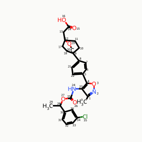 Cc1noc(-c2ccc(C34CCC(CC(=O)O)(CC3)OC4)cc2)c1NC(=O)OC(C)c1cccc(Cl)c1